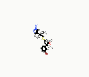 COC(=O)C(C)(CCSCC(C)(C)c1cn[nH]c1)c1cccc(Br)c1